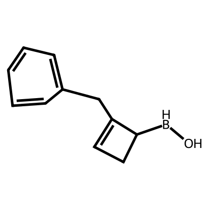 OBC1CC=C1Cc1ccccc1